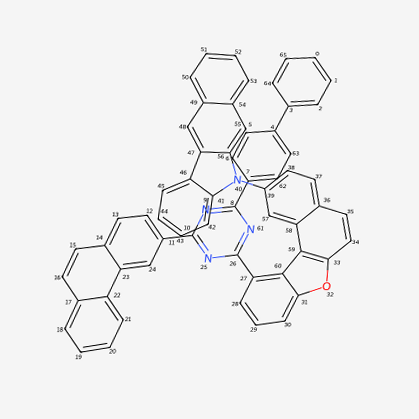 c1ccc(-c2ccc(-c3nc(-c4ccc5ccc6ccccc6c5c4)nc(-c4cccc5oc6ccc7ccc(-n8c9ccccc9c9cc%10ccccc%10cc98)cc7c6c45)n3)cc2)cc1